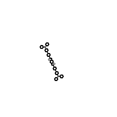 c1ccc(N(c2ccccc2)c2ccc(-c3ccc(-c4cc5cc6oc(-c7ccc(-c8ccc(N(c9ccccc9)c9ccccc9)cc8)cc7)cc6cc5o4)cc3)cc2)cc1